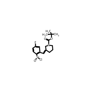 CC(C)(C)OC(=O)N1CCCC(=Cc2cc(F)ccc2[S+]([O-])Cl)C1